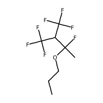 CCCOC(C)(F)C(C(F)(F)F)C(F)(F)F